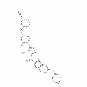 Cc1cc(Oc2cccc(C#N)c2)ccc1-n1ncc(C(=O)c2cc3ccc(CN4CCOCC4)cc3[nH]2)c1N